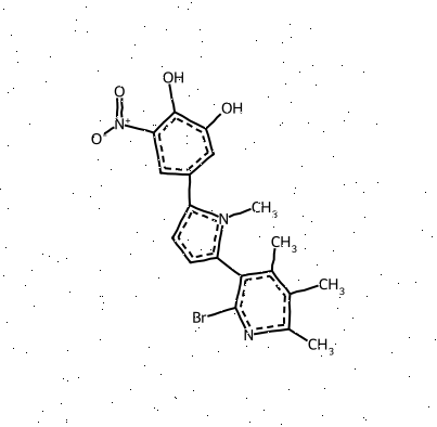 Cc1nc(Br)c(-c2ccc(-c3cc(O)c(O)c([N+](=O)[O-])c3)n2C)c(C)c1C